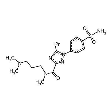 CC(C)c1nc(C(=O)N(C)CCCN(C)C)nn1-c1ccc(S(N)(=O)=O)cc1